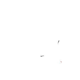 CCOc1cc(F)c(Cc2cc([C@@H]3S[C@H](CO)[C@@H](O)[C@H](O)[C@H]3O)ccc2Cl)cc1F